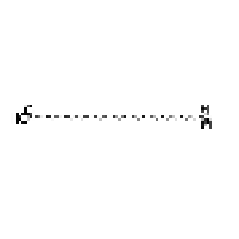 O=C(O)CCCCCCCCCCCCCCCCCCCCCCCCCCCCCCCCCCCC[SiH](Cl)Cl